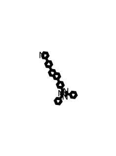 c1ccc(-c2nc(-c3ccccc3)nc(-c3ccc(-c4ccc5cc(-c6ccc(-c7cccnc7)cc6)ccc5c4)cc3)n2)cc1